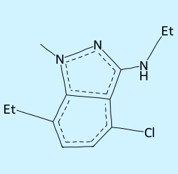 CCNc1nn(C)c2c(CC)ccc(Cl)c12